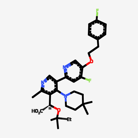 CCC(C)(C)O[C@H](C(=O)O)c1c(C)ncc(-c2cc(F)c(OCCc3ccc(F)cc3)cn2)c1N1CCC(C)(C)CC1